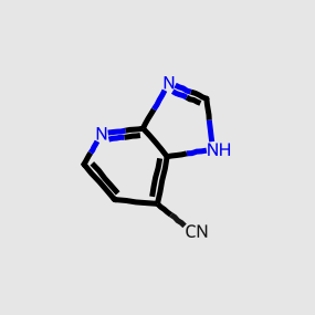 N#Cc1ccnc2nc[nH]c12